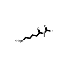 CCCCCCCCCCCC(=O)NC(=O)CC